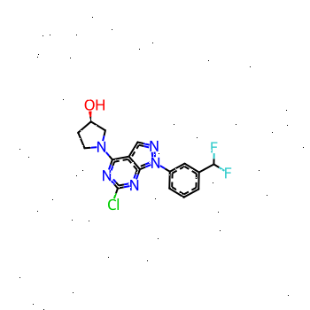 O[C@@H]1CCN(c2nc(Cl)nc3c2cnn3-c2cccc(C(F)F)c2)C1